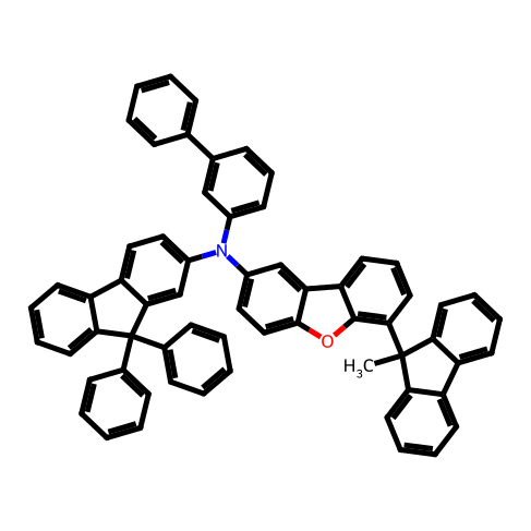 CC1(c2cccc3c2oc2ccc(N(c4cccc(-c5ccccc5)c4)c4ccc5c(c4)C(c4ccccc4)(c4ccccc4)c4ccccc4-5)cc23)c2ccccc2-c2ccccc21